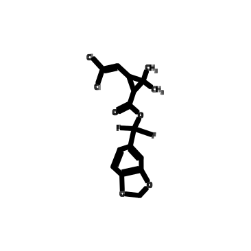 CC1(C)C(C=C(Cl)Cl)C1C(=O)OC(F)(F)c1ccc2c(c1)OCO2